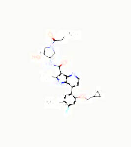 COCC(=O)N1C[C@@H](O)[C@H](NC(=O)c2c(C)[nH]c3c(-c4cc(OC)c(F)cc4OCC4CC4)ccnc23)C1